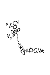 COc1ccc(CNC(=O)N2CCN(CCCCCCC3=C(C)C(=O)N(c4ccc(C#N)c(C(F)(F)F)c4)C3=O)CC2)cc1